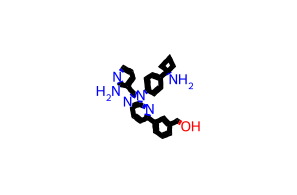 Nc1ncccc1-c1nc2ccc(-c3cccc(CO)c3)nc2n1-c1ccc(C2(N)CCC2)cc1